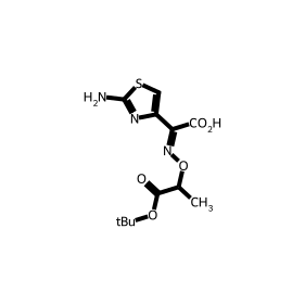 CC(O/N=C(\C(=O)O)c1csc(N)n1)C(=O)OC(C)(C)C